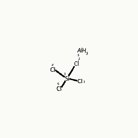 Cl[Si](Cl)(Cl)Cl.[AlH3]